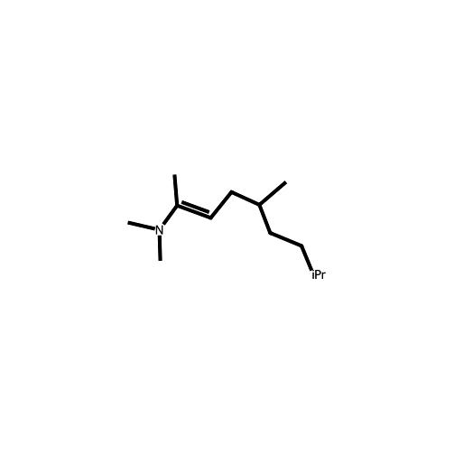 C/C(=C\CC(C)CCC(C)C)N(C)C